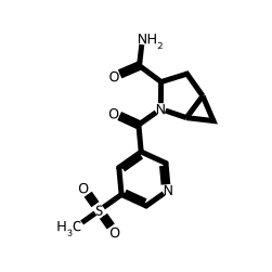 CS(=O)(=O)c1cncc(C(=O)N2C(C(N)=O)CC3CC32)c1